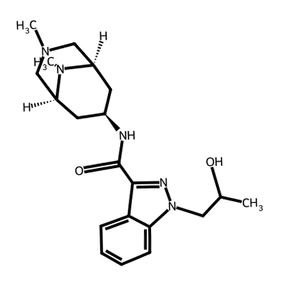 CC(O)Cn1nc(C(=O)N[C@@H]2C[C@@H]3CN(C)C[C@H](C2)N3C)c2ccccc21